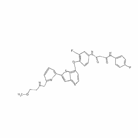 COCCNCc1cccc(-c2cc3nccc(Oc4ccc(NC(=O)CC(=O)Nc5ccc(F)cc5)cc4F)c3s2)n1